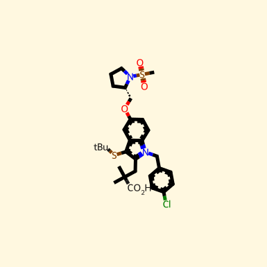 CC(C)(C)Sc1c(CC(C)(C)C(=O)O)n(Cc2ccc(Cl)cc2)c2ccc(OC[C@@H]3CCCN3S(C)(=O)=O)cc12